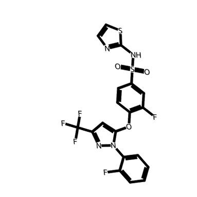 O=S(=O)(Nc1nccs1)c1ccc(Oc2cc(C(F)(F)F)nn2-c2ccccc2F)c(F)c1